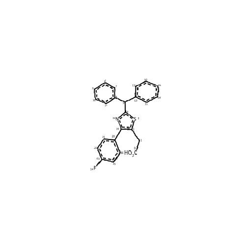 O=C(O)Cc1sc(C(c2ccccc2)c2ccccc2)nc1-c1ccc(F)cc1